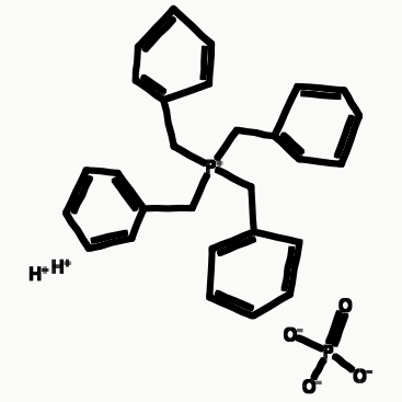 O=P([O-])([O-])[O-].[H+].[H+].c1ccc(C[P+](Cc2ccccc2)(Cc2ccccc2)Cc2ccccc2)cc1